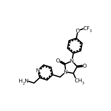 CC1C(=O)N(c2ccc(OC(F)(F)F)cc2)C(=O)N1Cc1ccnc(CN)c1